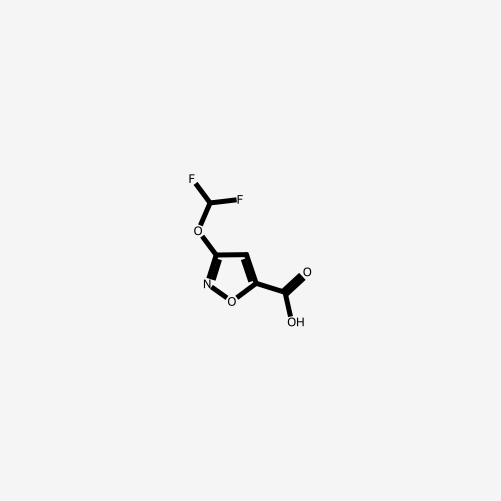 O=C(O)c1cc(OC(F)F)no1